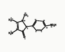 Cc1c(N)c(=O)n(-c2ccc(S(=O)(=O)O)cc2)n1C